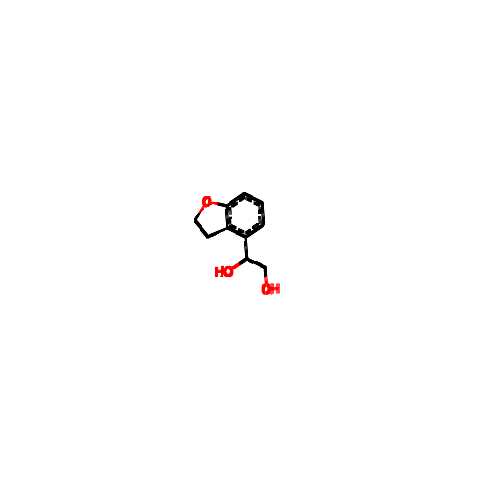 OCC(O)c1cccc2c1CCO2